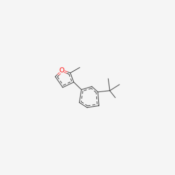 Cc1occc1-c1cccc(C(C)(C)C)c1